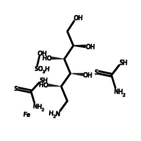 NC(=S)S.NC(=S)S.NC[C@H](O)[C@@H](O)[C@H](O)[C@H](O)CO.O=S(=O)(O)O.[Fe]